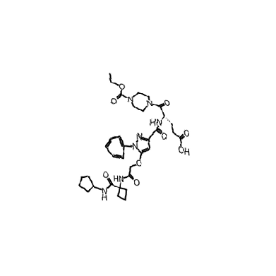 CCOC(=O)N1CCN(C(=O)[C@H](CCC(=O)O)NC(=O)c2cc(OCC(=O)NC3(C(=O)NC4CCCC4)CCC3)n(-c3ccccc3)n2)CC1